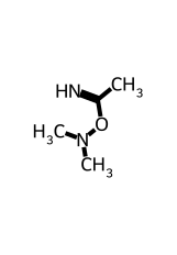 CC(=N)ON(C)C